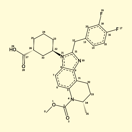 COC(=O)N1c2ccc3c(nc(Cc4ccc(F)c(F)c4)n3[C@@H]3CCC[C@@H](C(=O)O)C3)c2CC[C@@H]1C